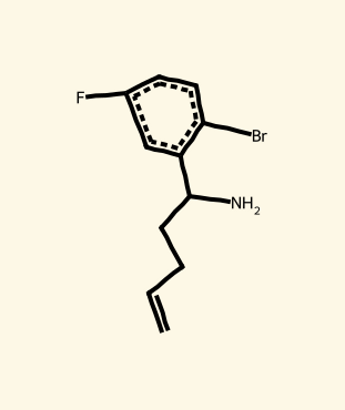 C=CCCC(N)c1cc(F)ccc1Br